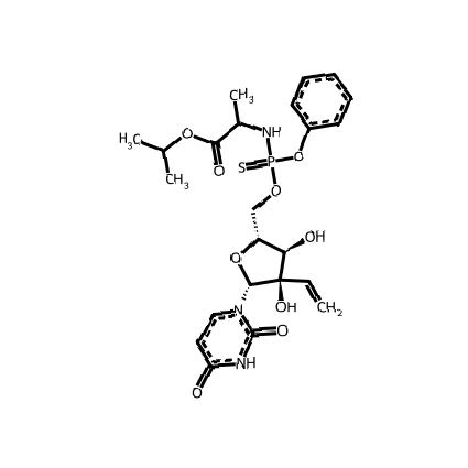 C=C[C@@]1(O)[C@H](O)[C@@H](COP(=S)(NC(C)C(=O)OC(C)C)Oc2ccccc2)O[C@H]1n1ccc(=O)[nH]c1=O